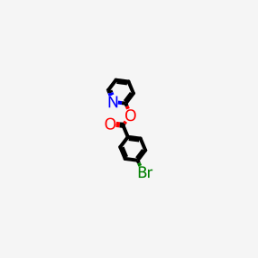 O=C(Oc1ccccn1)c1ccc(Br)cc1